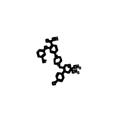 CC1(C)CC(c2ccc(Cl)cc2)=C(CN2CCN(c3ccc(C(=O)O)c(Oc4cccc(Br)c4)c3)CC2)CO1